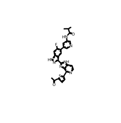 CC(=O)c1ccc(-c2nccc3[nH]c(-c4n[nH]c5cc(F)c(-c6cncc(NC(=O)C(C)C)c6)cc45)nc23)s1